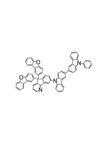 c1ccc(-n2c3ccccc3c3cc(-c4ccc5c(c4)c4ccccc4n5-c4ccc5c(c4)-c4ncccc4C5(c4ccc5oc6ccccc6c5c4)c4ccc5oc6ccccc6c5c4)ccc32)cc1